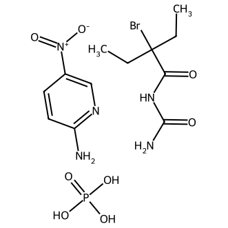 CCC(Br)(CC)C(=O)NC(N)=O.Nc1ccc([N+](=O)[O-])cn1.O=P(O)(O)O